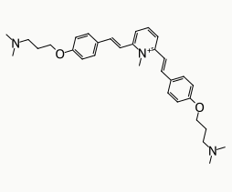 CN(C)CCCOc1ccc(/C=C/c2cccc(/C=C/c3ccc(OCCCN(C)C)cc3)[n+]2C)cc1